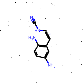 N#CN/C=C\c1cc(N)ccc1N